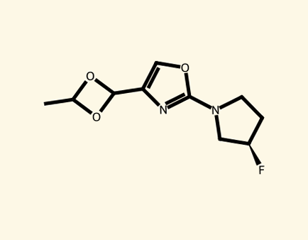 CC1OC(c2coc(N3CC[C@@H](F)C3)n2)O1